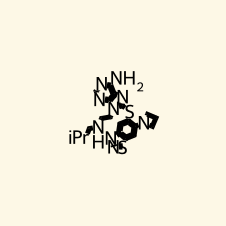 CC(C)CNCCn1c(Sc2cc3nnsc3cc2N2CCC2)nc2c(N)ncnc21